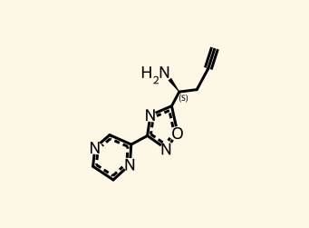 C#CC[C@H](N)c1nc(-c2cnccn2)no1